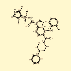 Cc1ccccc1Nc1c(C(=O)N2CCC(c3ccccc3)CC2)cnc2c(C(=O)NS(=O)(=O)c3c(C)noc3C)cnn12